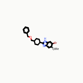 COc1cc2nc(C3CCC(COCc4ccccc4)CC3)[nH]c2cc1Br